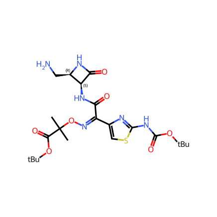 CC(C)(C)OC(=O)Nc1nc(C(=NOC(C)(C)C(=O)OC(C)(C)C)C(=O)N[C@@H]2C(=O)N[C@@H]2CN)cs1